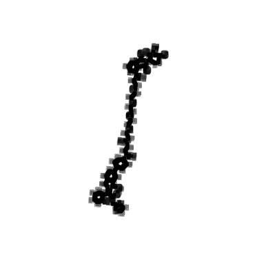 O=C1CCC(N2C(=O)c3cccc(NCCOCCOCCOCCOCCNCCNc4ccc(-c5ccc6c(c5)C(=O)N(C(C(=O)Nc5nccs5)c5ccccc5)C6)cc4)c3C2=O)C(=O)N1